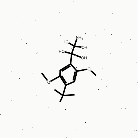 COc1cc(C(O)(O)C(N)(O)O)c(OC)cc1C(C)(C)C